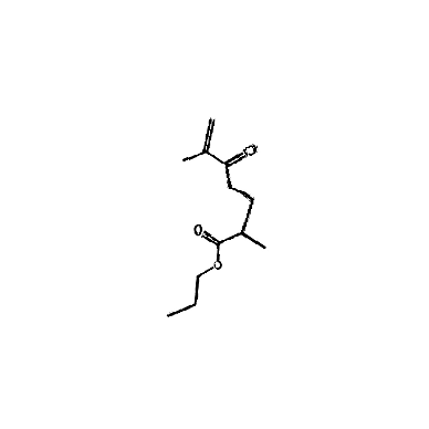 C=C(C)C(=O)CCC(C)C(=O)OCCC